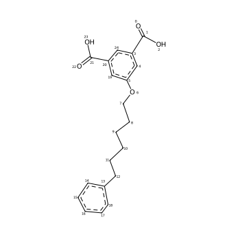 O=C(O)c1cc(OCCCCCCc2ccccc2)cc(C(=O)O)c1